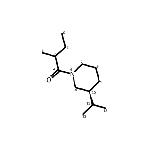 CCC(C)C(=O)N1CCC[C@@H](C(C)C)C1